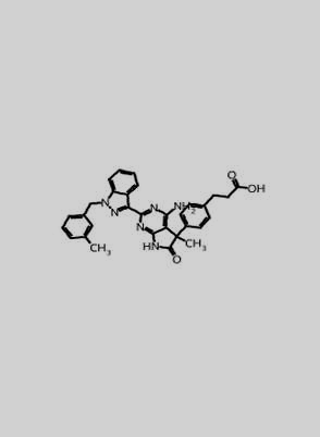 Cc1cccc(Cn2nc(-c3nc(N)c4c(n3)NC(=O)C4(C)c3ccc(CCC(=O)O)cc3)c3ccccc32)c1